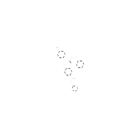 CC(NC(=O)N(Cc1ccc(C(O)Cc2nn[nH]n2)cc1)c1ccc(C(C)(C)C)cc1)c1ccc(Br)cc1